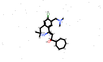 CN(C)CC1C=C2C(=CC1Cl)CC(C)(C)N/C2=C\C(=O)C1CCCCCC1